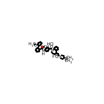 COc1cccc(OC)c1-c1ccccc1C(=O)Nc1ccc(C(=O)N2CCC(F)(F)/C(=C\C(=O)N3CCC(N(C)C)CC3)c3ccccc32)cc1.Cl